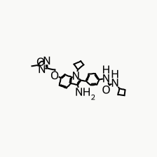 Cc1nc(COc2ccc3c(N)c(-c4ccc(NC(=O)NC5CCC5)cc4)n(C4CCC4)c3c2)no1